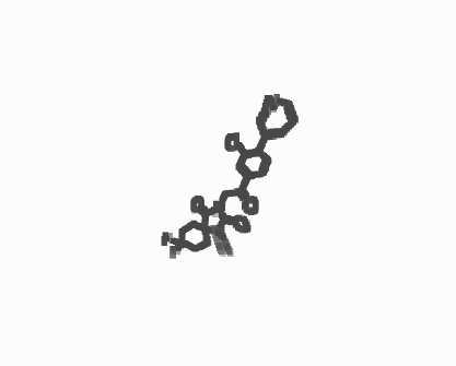 O=C(CN1C(=O)NC2(CCC(F)(F)CC2)C1=O)c1ccc(-c2cccnc2)c(Cl)c1